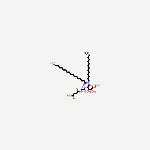 CCCCCCCCCCCCCCCCCC(=O)N(CCCCCCCCCCCCCC)[C@@H]1O[C@H](CO)[C@@H](O)[C@H](O)[C@@H]1NC(=O)CNC(=O)CCC(=O)O